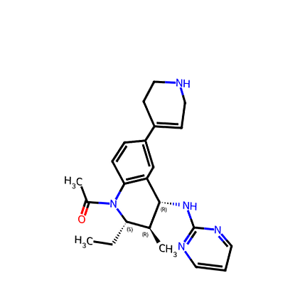 CC[C@H]1[C@H](C)[C@@H](Nc2ncccn2)c2cc(C3=CCNCC3)ccc2N1C(C)=O